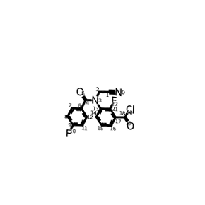 N#CCN(C(=O)c1ccc(F)cc1)c1cccc(C(=O)Cl)c1F